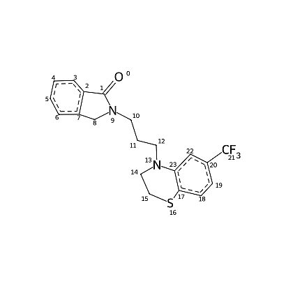 O=C1c2ccccc2CN1CCCN1CCSc2ccc(C(F)(F)F)cc21